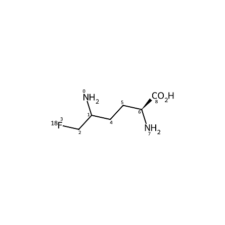 NC(C[18F])CC[C@H](N)C(=O)O